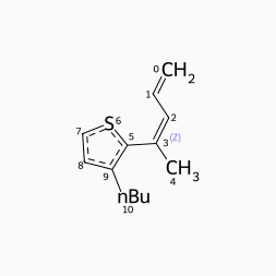 C=C/C=C(/C)c1sccc1CCCC